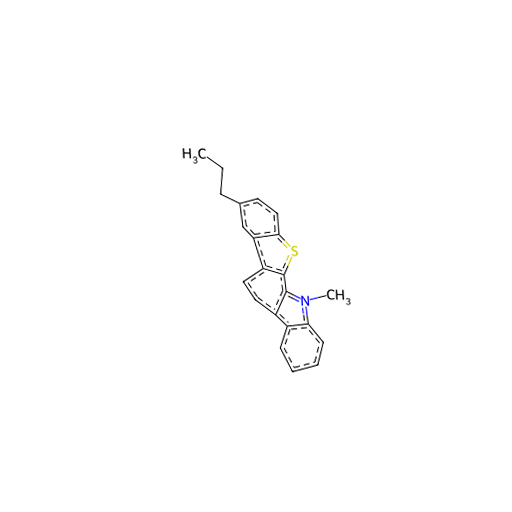 CCCc1ccc2sc3c(ccc4c5ccccc5n(C)c43)c2c1